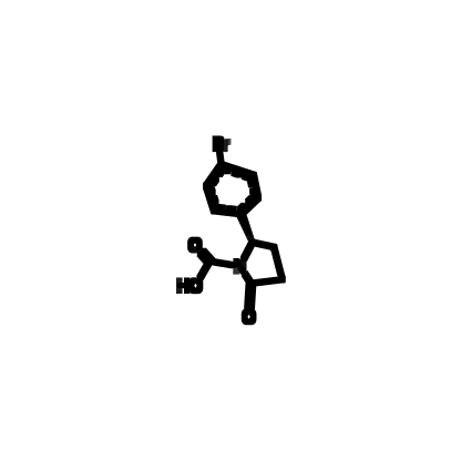 O=C(O)N1C(=O)CC[C@@H]1c1ccc(Br)cc1